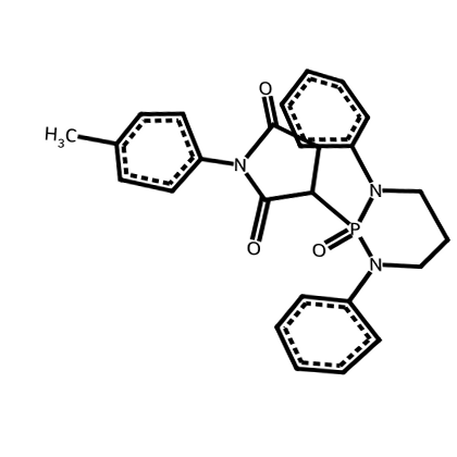 Cc1ccc(N2C(=O)CC(P3(=O)N(c4ccccc4)CCCN3c3ccccc3)C2=O)cc1